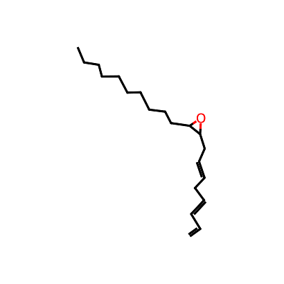 C=CC=CCC=CCC1OC1CCCCCCCCCC